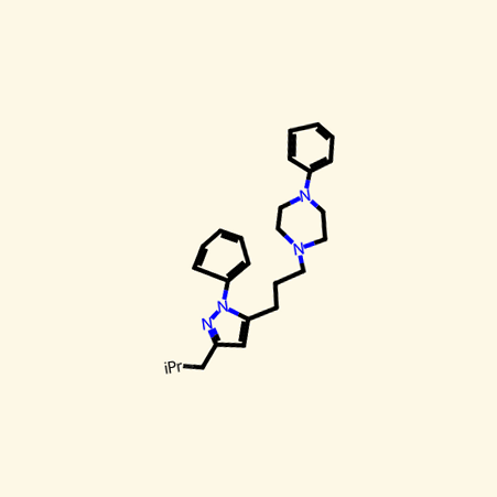 CC(C)Cc1cc(CCCN2CCN(c3ccccc3)CC2)n(-c2ccccc2)n1